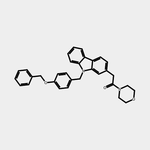 O=C(Cc1ccc2c3ccccc3n(Cc3ccc(OCc4ccccc4)cc3)c2c1)N1CCOCC1